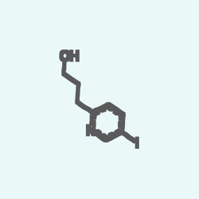 OCCCc1ccc(I)cn1